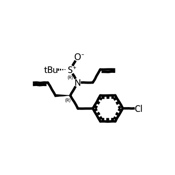 C=CC[C@H](Cc1ccc(Cl)cc1)N(CC=C)[S@@+]([O-])C(C)(C)C